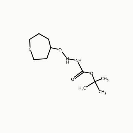 CC(C)(C)OC(=O)NNOC1[CH]CCCCC1